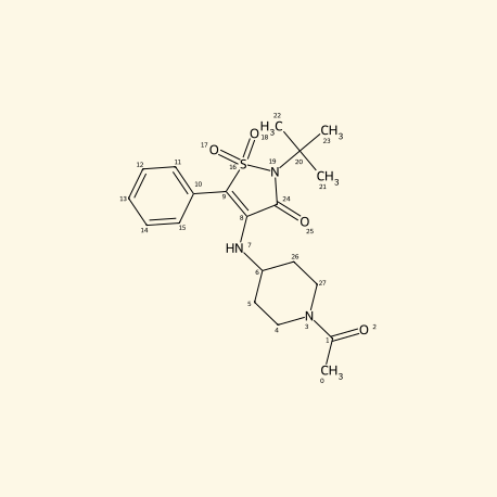 CC(=O)N1CCC(NC2=C(c3ccccc3)S(=O)(=O)N(C(C)(C)C)C2=O)CC1